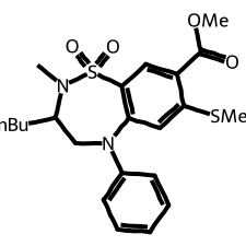 CCCCC1CN(c2ccccc2)c2cc(SC)c(C(=O)OC)cc2S(=O)(=O)N1C